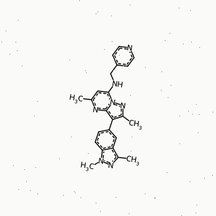 Cc1cc(NCc2ccncc2)n2nc(C)c(-c3ccc4c(c3)c(C)nn4C)c2n1